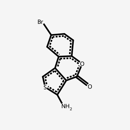 Nc1scc2c1c(=O)oc1ccc(Br)cc12